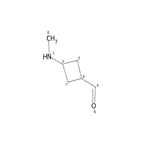 CNC1CC(C=O)C1